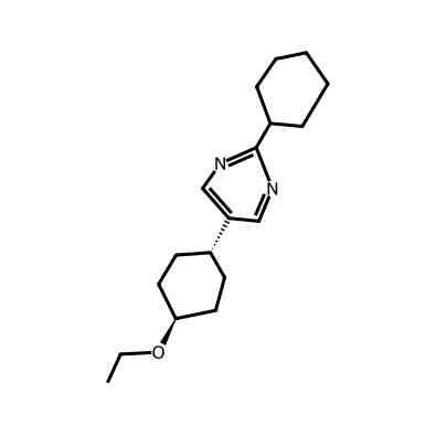 CCO[C@H]1CC[C@H](c2cnc(C3CCCCC3)nc2)CC1